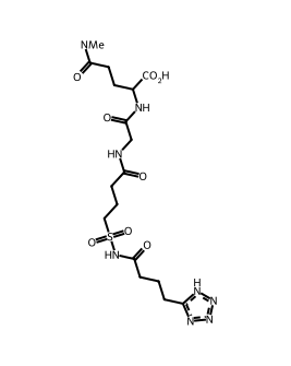 CNC(=O)CCC(NC(=O)CNC(=O)CCCS(=O)(=O)NC(=O)CCCc1nnn[nH]1)C(=O)O